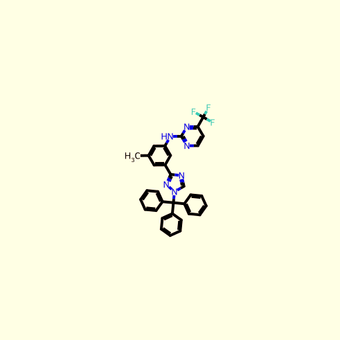 Cc1cc(Nc2nccc(C(F)(F)F)n2)cc(-c2ncn(C(c3ccccc3)(c3ccccc3)c3ccccc3)n2)c1